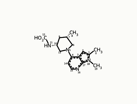 Cc1cc2c(N3C[C@@H](C)C[C@@H](NC(=O)O)C3)ccnc2n1C